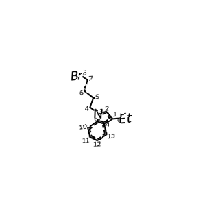 CCc1cn(CCCCBr)c2ccccc12